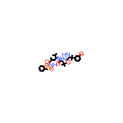 CNC(C(=O)NC(C(=O)N(C)C(C=C(C)C(=O)NS(=O)(=O)Cc1ccccc1)C(C)C)C(C)(C)C)C(C)(C)c1cccc(OC)c1